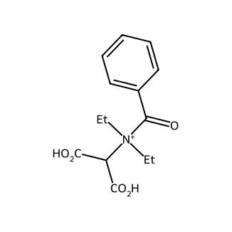 CC[N+](CC)(C(=O)c1ccccc1)C(C(=O)O)C(=O)O